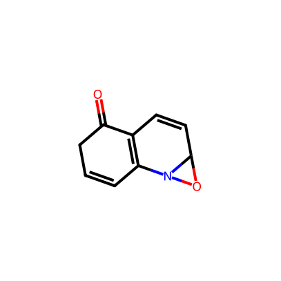 O=C1CC=CC2=C1C=CC1ON21